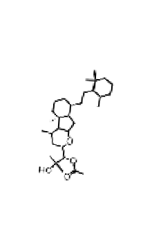 CC(=O)O[C@@H]([C@H]1C[C@@H](C)C2C(CC3[C@H](CCC4C(C)CCCC4(C)C)CCC[C@@]32C)O1)C(C)(C)O